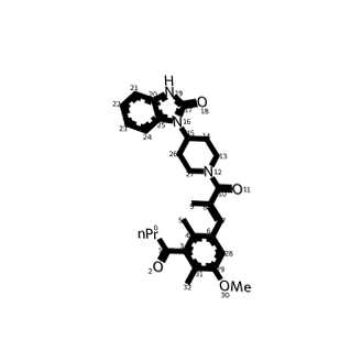 CCCC(=O)c1c(C)c(/C=C(\C)C(=O)N2CCC(n3c(=O)[nH]c4ccccc43)CC2)cc(OC)c1C